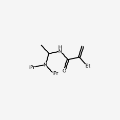 C=C(CC)C(=O)NC(C)N(C(C)C)C(C)C